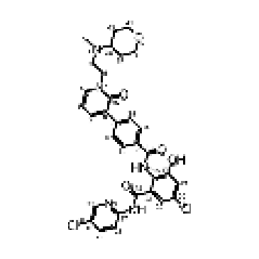 CN(CCn1cccc(-c2ccc(C(=O)Nc3c(O)cc(Cl)cc3C(=O)Nc3ccc(Cl)cn3)cc2)c1=O)C1CCOCC1